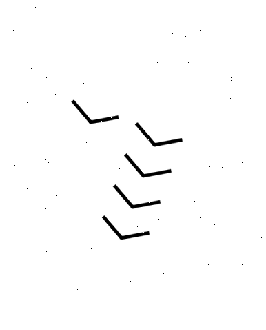 CCC.CCC.CCC.CCC.CCC